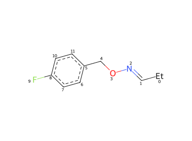 CCC=NOCc1ccc(F)cc1